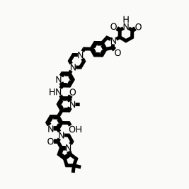 Cn1cc(-c2ccnc(N3CCn4c(cc5c4CC(C)(C)C5)C3=O)c2CO)cc(Nc2ccc(N3CCN(Cc4ccc5c(c4)CN(C4CCC(=O)NC4=O)C5=O)CC3)cn2)c1=O